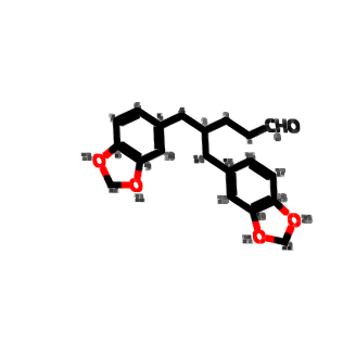 O=CCCC(Cc1ccc2c(c1)OCO2)Cc1ccc2c(c1)OCO2